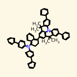 CC1(C)c2cc(-c3ccccc3)ccc2N2c3ccc(-c4ccccc4)cc3C(C)(C)c3cc(C4=c5ccccc5=C(N(c5ccc(-c6ccccc6)cc5)c5ccc(-c6ccccc6)cc5)CC4)cc1c32